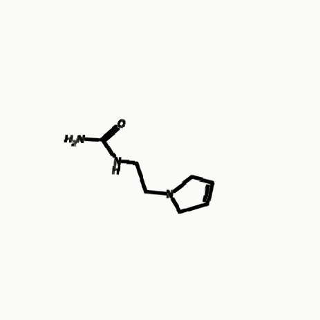 NC(=O)NCCN1CC=CC1